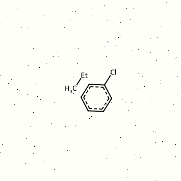 CCC.Clc1ccccc1